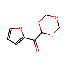 O=C(c1ccco1)C1OCOCO1